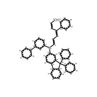 C\C=C/C(=C\C=C\N(c1cccc(-c2ccccc2)c1)c1ccc2c(c1)C(c1ccccc1)(c1ccccc1)c1ccccc1-2)c1ccccc1